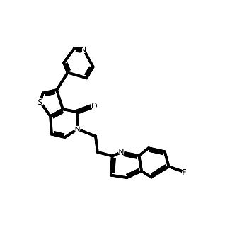 O=c1c2c(-c3ccncc3)csc2ccn1CCc1ccc2cc(F)ccc2n1